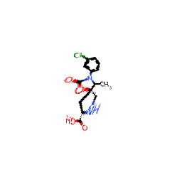 CC1N(c2cccc(Cl)c2)C(=O)O[C@@]12CN[C@H](C(=O)O)C2